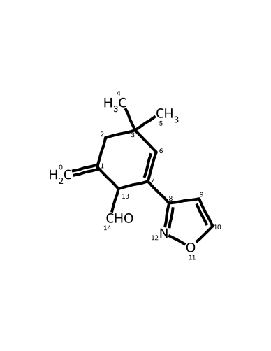 C=C1CC(C)(C)C=C(c2ccon2)C1C=O